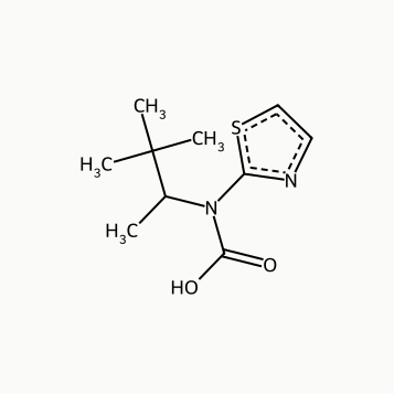 CC(N(C(=O)O)c1nccs1)C(C)(C)C